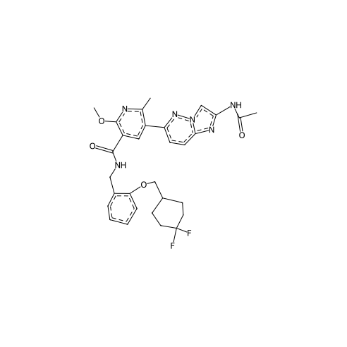 COc1nc(C)c(-c2ccc3nc(NC(C)=O)cn3n2)cc1C(=O)NCc1ccccc1OCC1CCC(F)(F)CC1